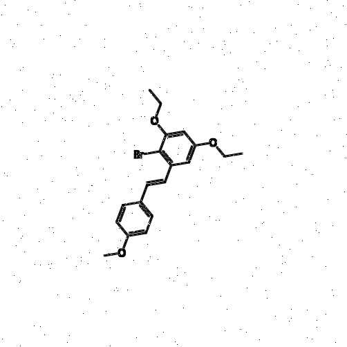 CCOc1cc(C=Cc2ccc(OC)cc2)c(Br)c(OCC)c1